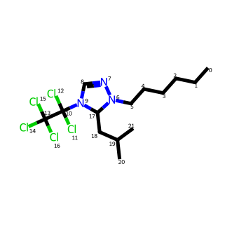 CCCCCCN1N=CN(C(Cl)(Cl)C(Cl)(Cl)Cl)C1CC(C)C